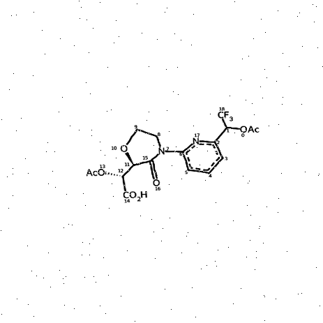 CC(=O)OC(c1cccc(N2CCO[C@H]([C@@H](OC(C)=O)C(=O)O)C2=O)n1)C(F)(F)F